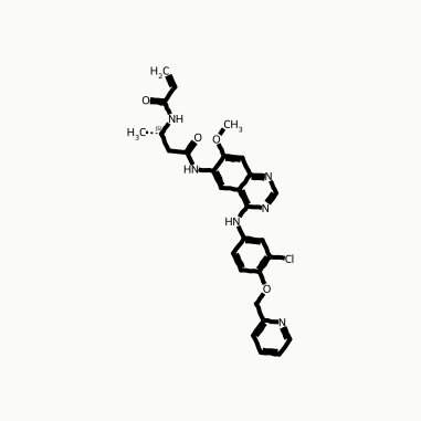 C=CC(=O)N[C@@H](C)CC(=O)Nc1cc2c(Nc3ccc(OCc4ccccn4)c(Cl)c3)ncnc2cc1OC